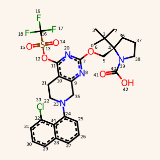 CC(C)(C)[C@]1(COc2nc3c(c(OS(=O)(=O)C(F)(F)F)n2)CCN(c2cccc4cccc(Cl)c24)C3)CCCN1C(=O)O